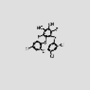 N#Cc1c(F)c(Sc2ccc(Cl)cc2Cl)c(Sc2ccc(Cl)cc2Cl)c(F)c1C#N